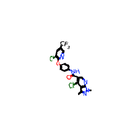 Cc1nn(C)c2ncc(C(=O)Nc3ccc(Oc4ncc(C(F)(F)F)cc4Cl)cc3)c(Cl)c12